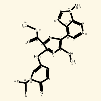 CNc1nc(Nc2ccc(=O)n(C(F)F)c2)c(C(=O)OC)nc1-c1cncc2c1ncn2C